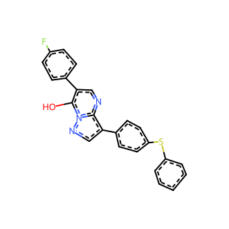 Oc1c(-c2ccc(F)cc2)cnc2c(-c3ccc(Sc4ccccc4)cc3)cnn12